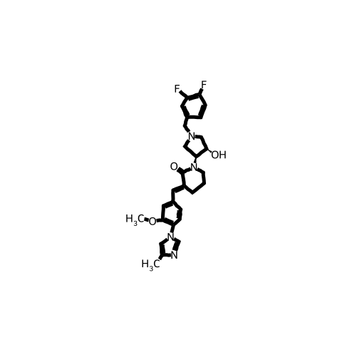 COc1cc(/C=C2\CCCN([C@H]3CN(Cc4ccc(F)c(F)c4)C[C@@H]3O)C2=O)ccc1-n1cnc(C)c1